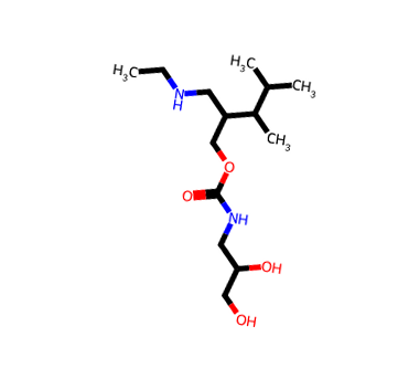 CCNCC(COC(=O)NCC(O)CO)C(C)C(C)C